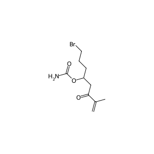 C=C(C)C(=O)CC(CCCBr)OC(N)=O